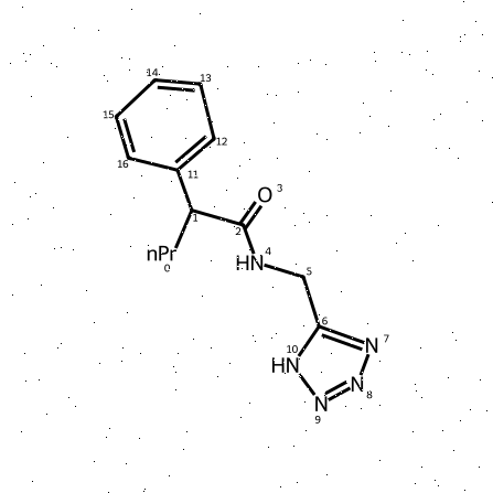 CCCC(C(=O)NCc1nnn[nH]1)c1ccccc1